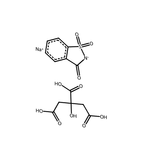 O=C(O)CC(O)(CC(=O)O)C(=O)O.O=C1[N-]S(=O)(=O)c2ccccc21.[Na+]